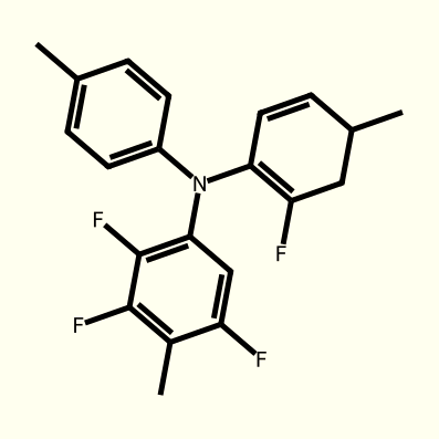 Cc1ccc(N(C2=C(F)CC(C)C=C2)c2cc(F)c(C)c(F)c2F)cc1